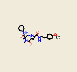 CCOc1ccc(CCNC(=O)c2cc3n(n2)CC(C)(C(=O)NC2CCCCC2)N(C)C3=O)cc1